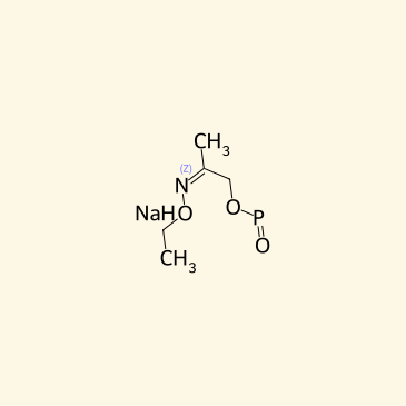 CCO/N=C(/C)COP=O.[NaH]